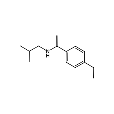 C=C(NCC(C)C)c1ccc(CC)cc1